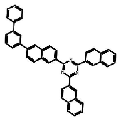 c1ccc(-c2cccc(-c3ccc4cc(-c5nc(-c6ccc7ccccc7c6)nc(-c6ccc7ccccc7c6)n5)ccc4c3)c2)cc1